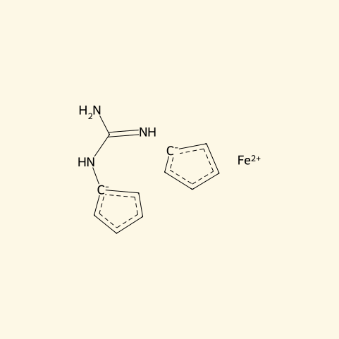 N=C(N)N[c-]1cccc1.[Fe+2].c1cc[cH-]c1